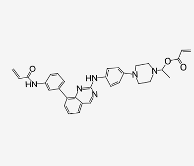 C=CC(=O)Nc1cccc(-c2cccc3cnc(Nc4ccc(N5CCN(C(C)OC(=O)C=C)CC5)cc4)nc23)c1